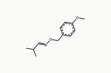 COc1ccc(CON=CC(C)C)cc1